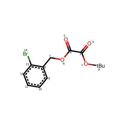 CC(C)(C)OC(=O)C(=O)OCc1ccccc1Br